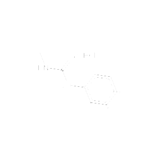 CNC(=O)Oc1ccccc1.Cl